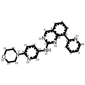 c1ccc(-c2cccc3cnc(Nc4ccc(N5CCOCC5)nc4)nc23)nc1